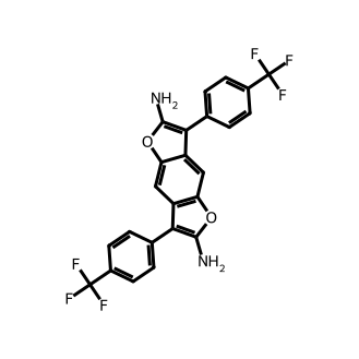 Nc1oc2cc3c(-c4ccc(C(F)(F)F)cc4)c(N)oc3cc2c1-c1ccc(C(F)(F)F)cc1